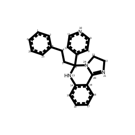 c1ccc(CCC2(c3ccncc3)Nc3ccccc3C3=NCCN32)cc1